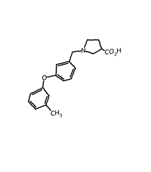 Cc1cccc(Oc2cccc(CN3CCC(C(=O)O)C3)c2)c1